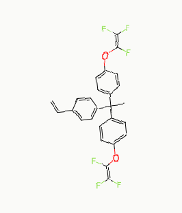 C=Cc1ccc(C(C)(c2ccc(OC(F)=C(F)F)cc2)c2ccc(OC(F)=C(F)F)cc2)cc1